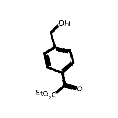 CCOC(=O)C(=O)c1ccc(CO)cc1